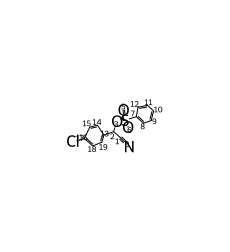 N#CC(OS(=O)(=O)c1ccccc1)c1ccc(Cl)cc1